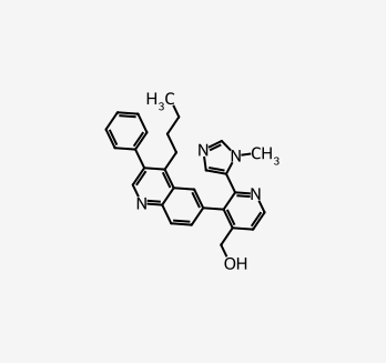 CCCCc1c(-c2ccccc2)cnc2ccc(-c3c(CO)ccnc3-c3cncn3C)cc12